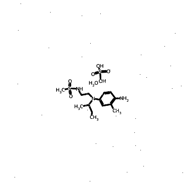 CCC(C)N(CCNS(C)(=O)=O)c1ccc(N)c(C)c1.O.O=S(=O)(O)O